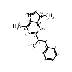 CC(Cc1ccccc1)c1nc(N)c2ncn(C)c2n1